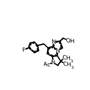 CC(=O)N1CC(C)(C)c2c1cc(Cc1ccc(F)cc1)c1nc(CO)cn21